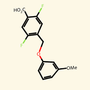 COc1cccc(OCc2cc(F)c(C(=O)O)cc2F)c1